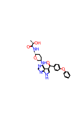 C[C@@H](O)C(=O)NC[C@@H]1CC[C@@H](Nc2ncnc3[nH]cc(C(=O)c4ccc(Oc5ccccc5)cc4)c23)CO1